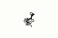 NS(=O)(=O)NC(=O)C1CO1